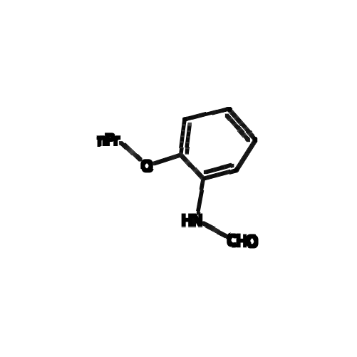 CCCOc1ccccc1NC=O